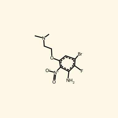 CN(C)CCOc1cc(Br)c(F)c(N)c1[N+](=O)[O-]